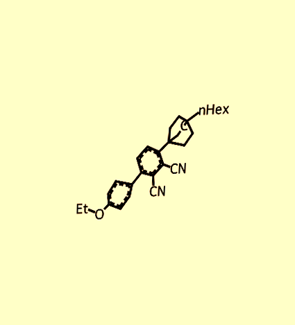 CCCCCCC12CCC(c3ccc(-c4ccc(OCC)cc4)c(C#N)c3C#N)(CC1)CC2